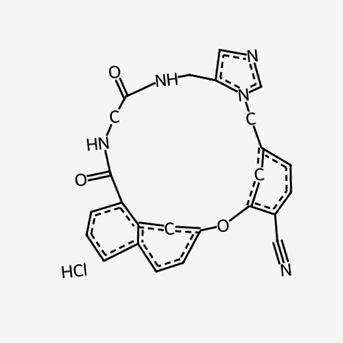 Cl.N#Cc1ccc2cc1Oc1ccc3cccc(c3c1)C(=O)NCC(=O)NCc1cncn1C2